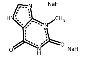 Cn1c(=O)[nH]c(=O)c2[nH]cnc21.[NaH].[NaH]